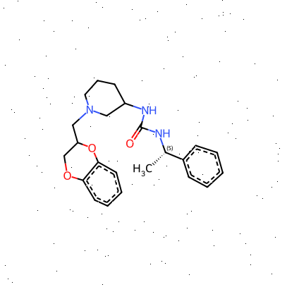 C[C@H](NC(=O)NC1CCCN(CC2COc3ccccc3O2)C1)c1ccccc1